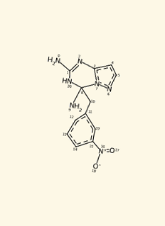 NC1=Nc2ccnn2C(N)(Cc2cccc([N+](=O)[O-])c2)N1